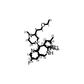 CCOCCC1CN(C2=c3ncc(F)cc3=CNc3sc(C)cc32)CCN1C.Cl.Cl